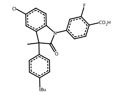 CC(C)(C)c1ccc(C2(C)C(=O)N(c3ccc(C(=O)O)c(F)c3)c3ccc(Cl)cc32)cc1